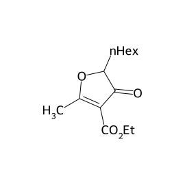 CCCCCCC1OC(C)=C(C(=O)OCC)C1=O